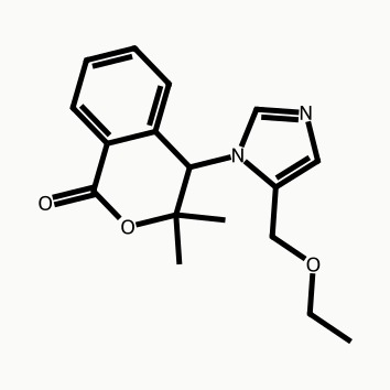 CCOCc1cncn1C1c2ccccc2C(=O)OC1(C)C